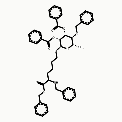 C[C@@H]1O[C@@H](OCCCCC(NCc2ccccc2)C(=O)OCc2ccccc2)[C@H](OC(=O)c2ccccc2)[C@H](OC(=O)c2ccccc2)[C@H]1OCc1ccccc1